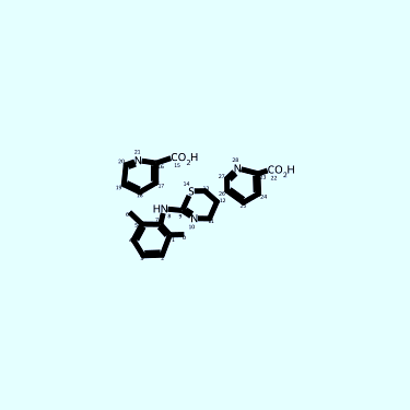 Cc1cccc(C)c1NC1=NCCCS1.O=C(O)c1ccccn1.O=C(O)c1ccccn1